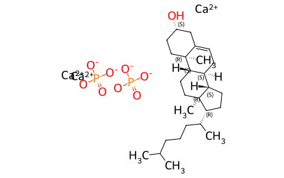 CC(C)CCCC(C)[C@H]1CC[C@H]2[C@@H]3CC=C4C[C@@H](O)CC[C@]4(C)[C@H]3CC[C@]12C.O=P([O-])([O-])[O-].O=P([O-])([O-])[O-].[Ca+2].[Ca+2].[Ca+2]